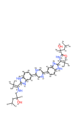 CC(C)CC(C)(O)CN[C@H](c1nc2cc(-c3cnc(-c4ccc5[nH]c([C@@H](NC(=O)C(C)(O)CC(C)C)C(C)(C)C)nc5c4)cn3)ccc2[nH]1)C(C)(C)C